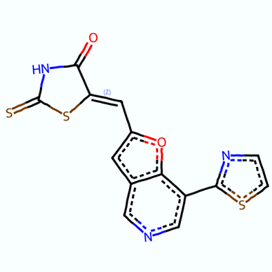 O=C1NC(=S)S/C1=C\c1cc2cncc(-c3nccs3)c2o1